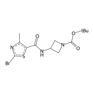 Cc1nc(Br)sc1C(=O)NC1CN(C(=O)OC(C)(C)C)C1